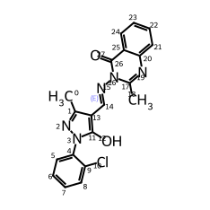 Cc1nn(-c2ccccc2Cl)c(O)c1/C=N/n1c(C)nc2ccccc2c1=O